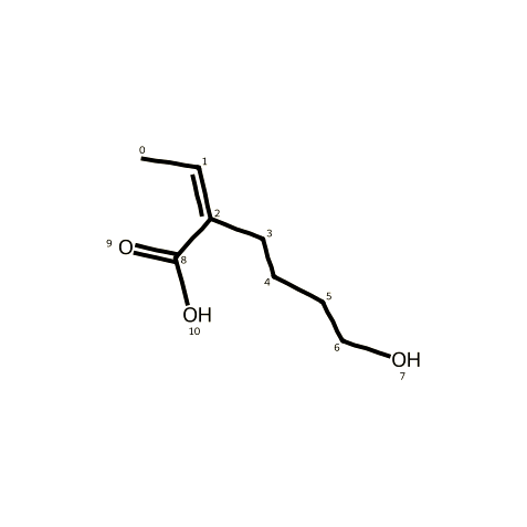 CC=C(CCCCO)C(=O)O